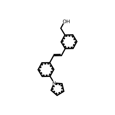 OCc1cccc(/C=C/c2cccc(-n3cccc3)c2)c1